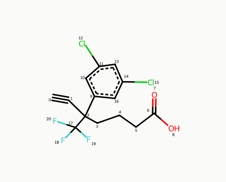 C#CC(CCCC(=O)O)(c1cc(Cl)cc(Cl)c1)C(F)(F)F